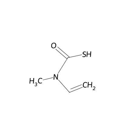 C=CN(C)C(=O)S